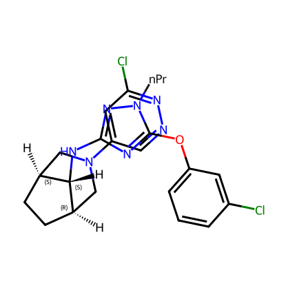 CCCn1nc(N[C@@H]2[C@@H]3CC[C@H]2CN(c2cnnc(Cl)c2)C3)nc1Oc1cccc(Cl)c1